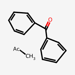 CC(C)=O.O=C(c1ccccc1)c1ccccc1